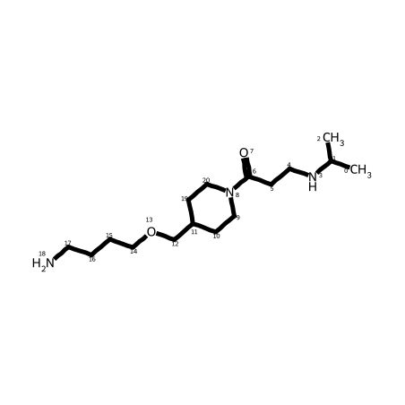 CC(C)NCCC(=O)N1CCC(COCCCCN)CC1